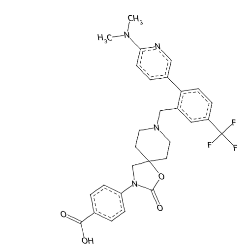 CN(C)c1ccc(-c2ccc(C(F)(F)F)cc2CN2CCC3(CC2)CN(c2ccc(C(=O)O)cc2)C(=O)O3)cn1